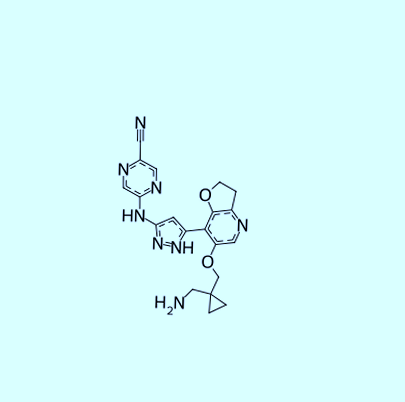 N#Cc1cnc(Nc2cc(-c3c(OCC4(CN)CC4)cnc4c3OCC4)[nH]n2)cn1